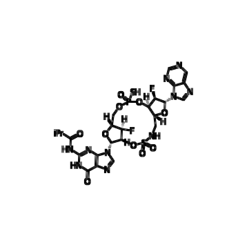 CC(C)C(=O)Nc1nc2c(ncn2[C@@H]2O[C@@H]3COP(=O)(S)O[C@H]4[C@@H](F)[C@H](n5cnc6cncnc65)O[C@@H]4CNS(=O)(=O)O[C@@H]2[C@@H]3F)c(=O)[nH]1